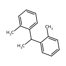 Cc1ccccc1C(C)c1ccccc1C